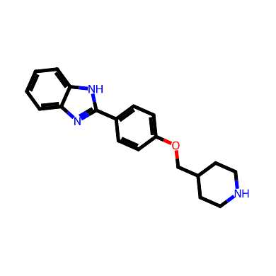 c1ccc2[nH]c(-c3ccc(OCC4CCNCC4)cc3)nc2c1